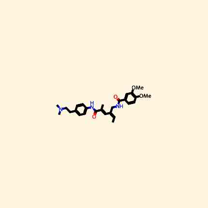 C/C=C(\C=C(/C)C(=O)Nc1ccc(CCN(C)C)cc1)CNC(=O)c1ccc(OC)c(OC)c1